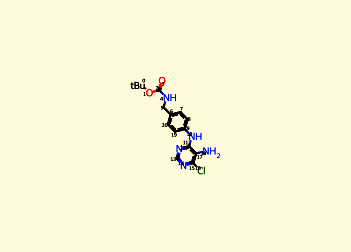 CC(C)(C)OC(=O)NCc1ccc(Nc2ncnc(Cl)c2N)cc1